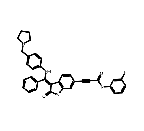 O=C(C#Cc1ccc2c(c1)NC(=O)C2=C(Nc1ccc(CN2CCCC2)cc1)c1ccccc1)Nc1cccc(F)c1